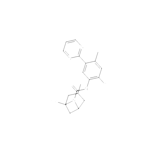 Cc1cc(F)c(NC(=O)N2C3CC(C)CC2(C(=O)O)C3)cc1-c1ncccn1